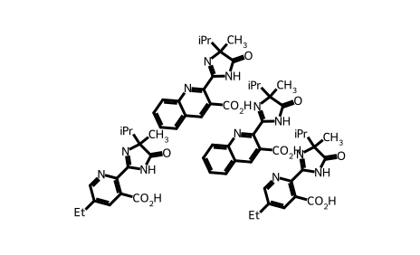 CC(C)C1(C)N=C(c2nc3ccccc3cc2C(=O)O)NC1=O.CC(C)C1(C)N=C(c2nc3ccccc3cc2C(=O)O)NC1=O.CCc1cnc(C2=NC(C)(C(C)C)C(=O)N2)c(C(=O)O)c1.CCc1cnc(C2=NC(C)(C(C)C)C(=O)N2)c(C(=O)O)c1